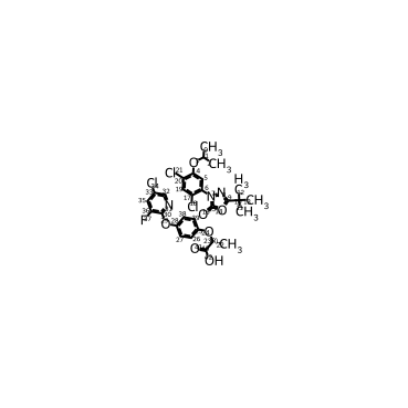 CC(C)Oc1cc(-n2nc(C(C)(C)C)oc2=O)c(Cl)cc1Cl.C[C@@H](Oc1ccc(Oc2ncc(Cl)cc2F)cc1)C(=O)O